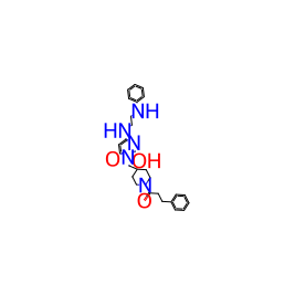 O=C(CCc1ccccc1)N1CCC(O)(Cn2cnc(NCCNc3ccccc3)cc2=O)CC1